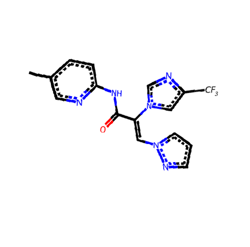 Cc1ccc(NC(=O)C(=Cn2cccn2)n2cnc(C(F)(F)F)c2)nc1